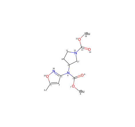 Cc1cc(N(C(=O)OC(C)(C)C)C2CCN(C(=O)OC(C)(C)C)C2)no1